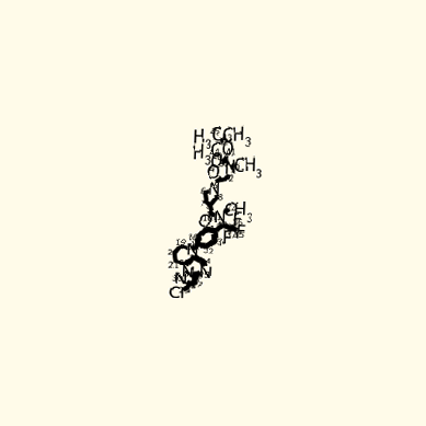 CN(CC(=O)N1CCC(C(=O)N(C)[C@@H](c2ccc(N3CCCc4c3cnc3cc(Cl)nn43)cc2)C(F)(F)F)C1)C(=O)OC(C)(C)C